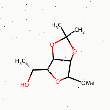 COC1OC([C@@H](C)O)C2OC(C)(C)OC12